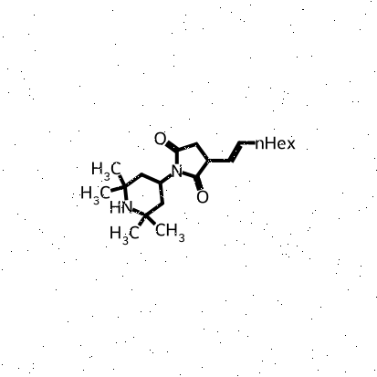 CCCCCC/C=C/C1CC(=O)N(C2CC(C)(C)NC(C)(C)C2)C1=O